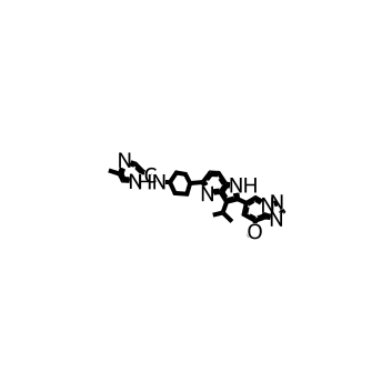 COc1cc(-c2[nH]c3ccc(C4CCC(NCc5cnc(C)cn5)CC4)nc3c2C(C)C)cn2ncnc12